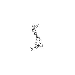 CCOC(=O)N1CCC2(CC(N3CCC(C4CCCN4C(=O)OCCN(C)C)CC3)C2)C1